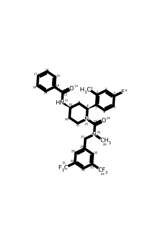 Cc1cc(F)ccc1[C@@H]1C[C@H](NC(=O)c2ccccc2)CCN1C(=O)N(C)Cc1cc(C(F)(F)F)cc(C(F)(F)F)c1